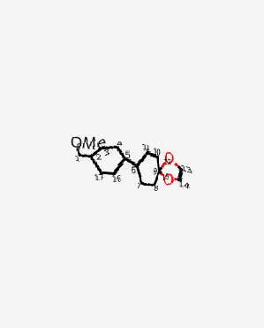 COCC1CCC(C2CCC3(CC2)OCCO3)CC1